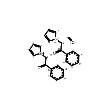 C=O.O=C(C[SH]1C=CC=C1)c1ccccc1.O=C(C[SH]1C=CC=C1)c1ccccc1